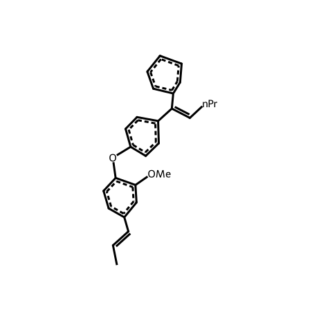 CC=Cc1ccc(Oc2ccc(C(=CCCC)c3ccccc3)cc2)c(OC)c1